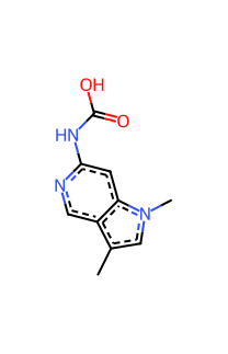 Cc1cn(C)c2cc(NC(=O)O)ncc12